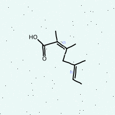 C/C=C(\C)C/C(C)=C(/C)C(=O)O